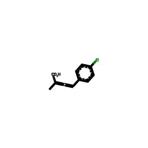 CC(=C=Cc1ccc(Cl)cc1)C(=O)O